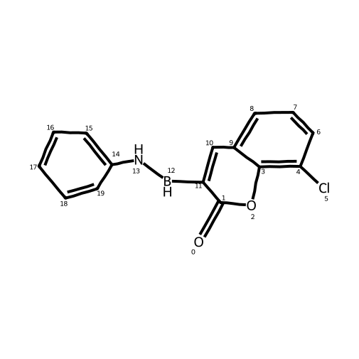 O=c1oc2c(Cl)cccc2cc1BNc1ccccc1